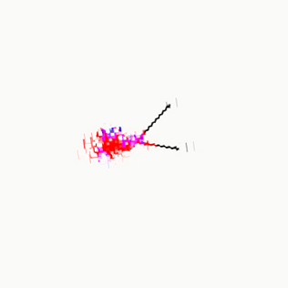 CCCCCCCCCCCCC/C=C/[C@@H](O)[C@H](CO[C@@H]1OC(CO)[C@@H](O[C@@H]2OC(CO)[C@H](O[C@@H]3OC(CO)[C@H](O)[C@H](O)C3NC(C)=O)[C@H](O[C@]3(C(=O)O)CC(O)[C@@H](NC(=O)CO)C([C@H](O)[C@H](O)CO)O3)C2O)[C@H](O)C1O)NC(=O)CCCCCCCCCCCCCCCCC